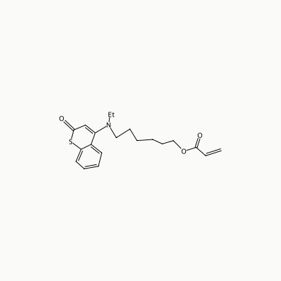 C=CC(=O)OCCCCCCN(CC)c1cc(=O)sc2ccccc12